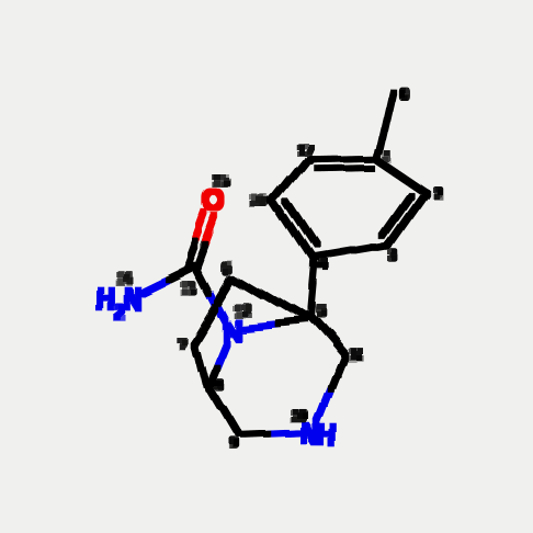 Cc1ccc(C23CCC(CNC2)N3C(N)=O)cc1